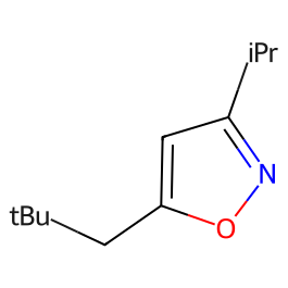 CC(C)c1cc(CC(C)(C)C)on1